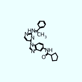 C[C@H](Nc1nccc(-n2cnc3cc(NC(=O)C4CCCC4)ccc32)n1)c1ccccc1